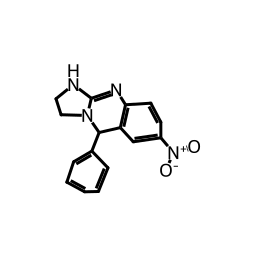 O=[N+]([O-])c1ccc2c(c1)C(c1ccccc1)N1CCNC1=N2